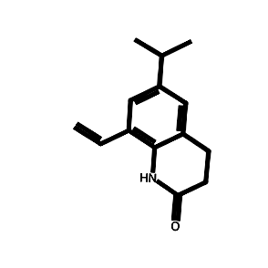 C=Cc1cc(C(C)C)cc2c1NC(=O)CC2